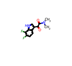 CN(C)C(=O)C(=O)c1c[nH]c2c(F)c(F)ccc12